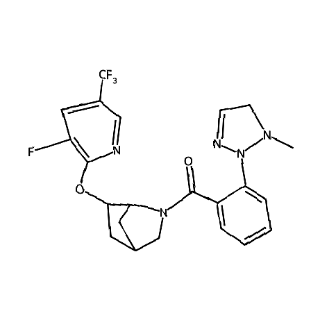 CN1CC=NN1c1ccccc1C(=O)N1CC2CC(Oc3ncc(C(F)(F)F)cc3F)C1C2